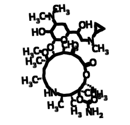 CC[C@H]1OC(=O)CC(=O)[C@H](C)[C@@H](O[C@@H]2OC(C(O)CN(C)C3CC3)CC(N(C)C)C2O)[C@](C)(OC)C[C@@H](C)CN[C@H](C)[C@@H](C)[C@]1(C)OC(N)=O